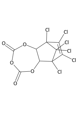 O=C1OC(=O)OC2C(O1)C1(Cl)C(Cl)=C(Cl)C2(Cl)C1(Cl)Cl